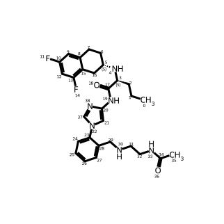 CCC[C@H](N[C@H]1CCc2cc(F)cc(F)c2C1)C(=O)Nc1cn(-c2ccccc2CNCCNC(C)=O)cn1